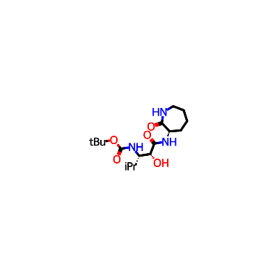 CC(C)[C@H](NC(=O)OC(C)(C)C)[C@@H](O)C(=O)N[C@H]1CCCCNC1=O